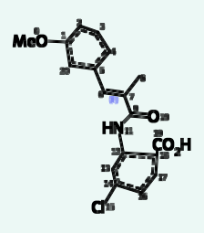 COc1cccc(/C=C(\C)C(=O)Nc2cc(Cl)ccc2C(=O)O)c1